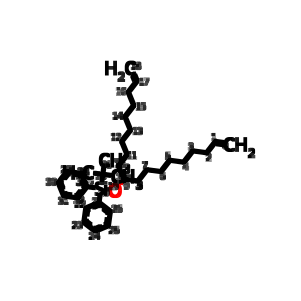 C=CCCCCCCCC(CCCCCCCC=C)O[Si](c1ccccc1)(c1ccccc1)C(C)(C)C